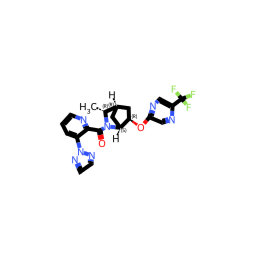 C[C@@H]1[C@H]2C[C@@H](Oc3cnc(C(F)(F)F)cn3)[C@H](C2)N1C(=O)c1ncccc1-n1nccn1